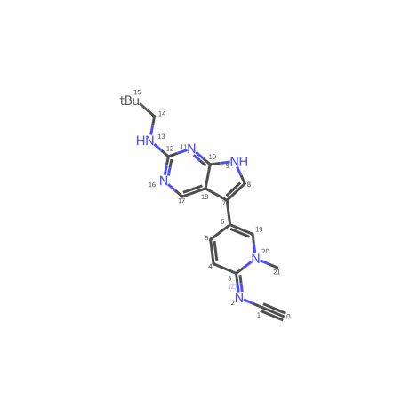 C#C/N=c1/ccc(-c2c[nH]c3nc(NCC(C)(C)C)ncc23)cn1C